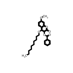 CCCCCCCCCCOc1c(OC(=O)c2ccccc2)c(=O)oc2cc(OC)ccc12